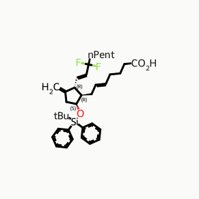 C=C1C[C@H](O[Si](c2ccccc2)(c2ccccc2)C(C)(C)C)[C@H](CC=CCCCC(=O)O)[C@H]1C=CC(F)(F)CCCCC